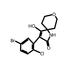 O=C1NC2(CCOCC2)C(O)=C1c1cc(Br)ccc1Cl